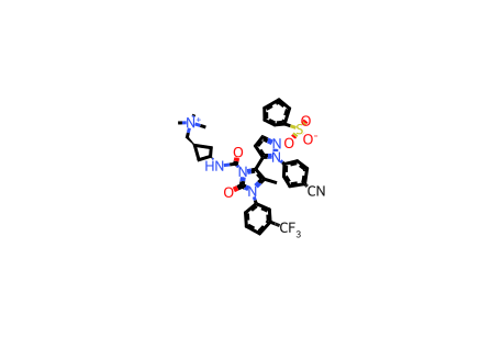 Cc1c(-c2ccnn2-c2ccc(C#N)cc2)n(C(=O)N[C@H]2C[C@H](C[N+](C)(C)C)C2)c(=O)n1-c1cccc(C(F)(F)F)c1.O=S(=O)([O-])c1ccccc1